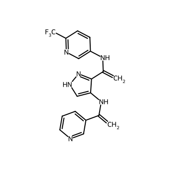 C=C(Nc1c[nH]nc1C(=C)Nc1ccc(C(F)(F)F)nc1)c1cccnc1